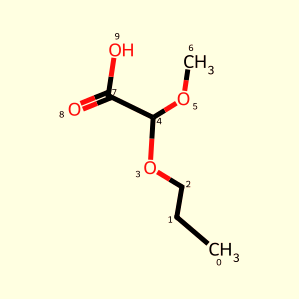 CCCOC(OC)C(=O)O